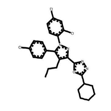 CCCc1c(-c2nnc(C3CCCCC3)o2)nn(-c2ccc(Cl)cc2Cl)c1-c1ccc(Cl)cc1